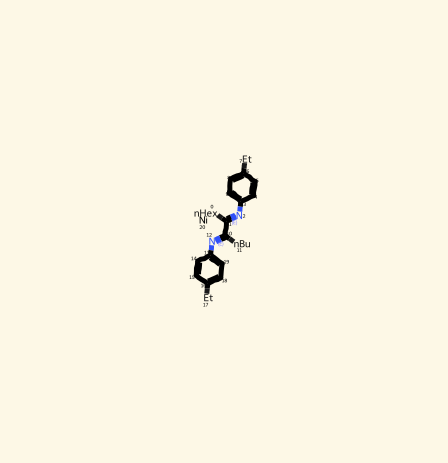 CCCCCCC(=N\c1ccc(CC)cc1)/C(CCCC)=N/c1ccc(CC)cc1.[Ni]